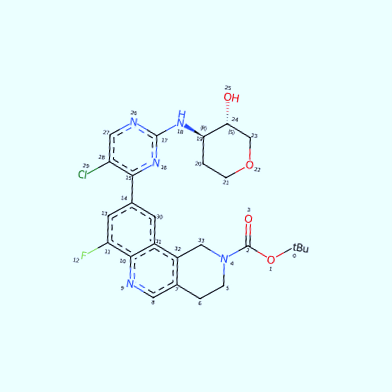 CC(C)(C)OC(=O)N1CCc2cnc3c(F)cc(-c4nc(N[C@@H]5CCOC[C@H]5O)ncc4Cl)cc3c2C1